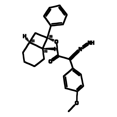 COc1ccc(C(=[N+]=N)C(=O)O[C@@]2(c3ccccc3)C[C@@H]3CCCC[C@H]32)cc1